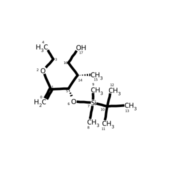 C=C(OCC)[C@@H](O[Si](C)(C)C(C)(C)C)[C@@H](C)CO